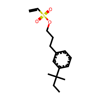 C=CS(=O)(=O)OCCCc1cccc(C(C)(C)CC)c1